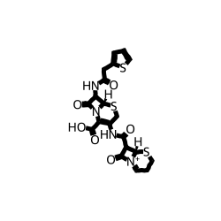 O=C(Cc1cccs1)NC1C(=O)N2C(C(=O)O)=C(NC(=O)C3C(=O)[N+]4=CCCS[C@@H]34)CS[C@@H]12